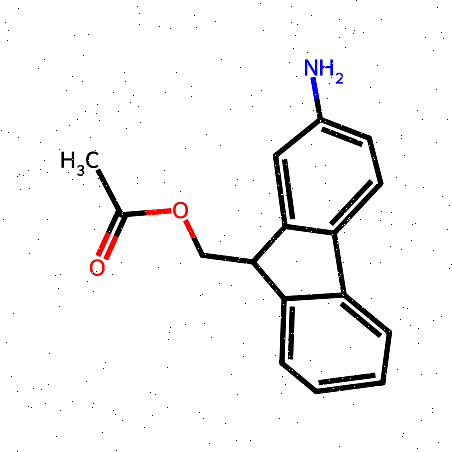 CC(=O)OCC1c2ccccc2-c2ccc(N)cc21